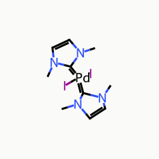 Cn1ccn(C)[c]1=[Pd]([I])([I])=[c]1n(C)ccn1C